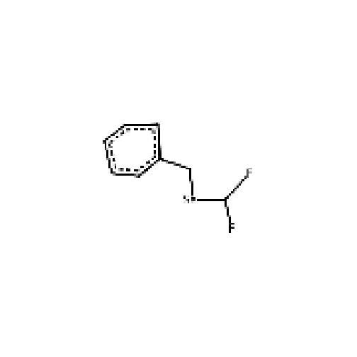 FC(F)[Se]Cc1ccccc1